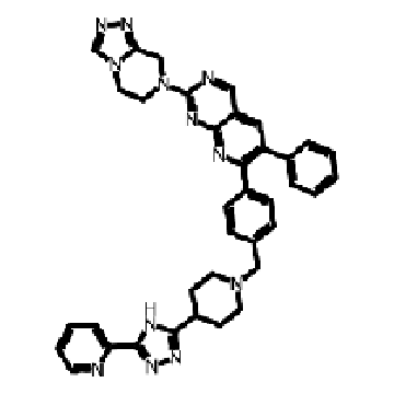 c1ccc(-c2cc3cnc(N4CCn5cnnc5C4)nc3nc2-c2ccc(CN3CCC(c4nnc(-c5ccccn5)[nH]4)CC3)cc2)cc1